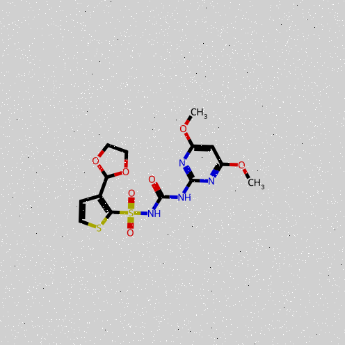 COc1cc(OC)nc(NC(=O)NS(=O)(=O)c2sccc2C2OCCO2)n1